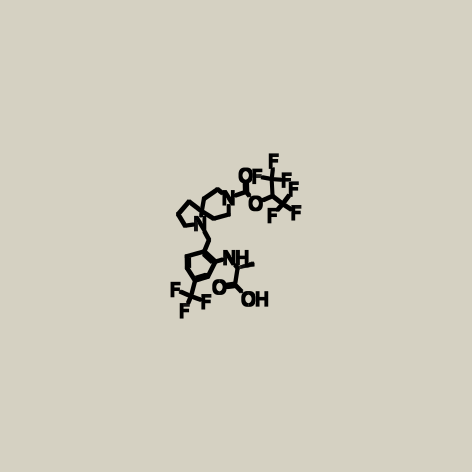 C[C@H](Nc1cc(C(F)(F)F)ccc1CN1CCCC12CCN(C(=O)OC(C(F)(F)F)C(F)(F)F)CC2)C(=O)O